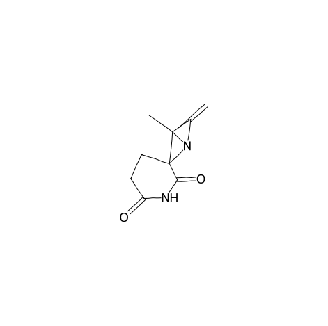 C=C1N2C1(C)C21CCC(=O)NC1=O